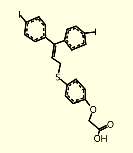 O=C(O)COc1ccc(SCC=C(c2ccc(I)cc2)c2ccc(I)cc2)cc1